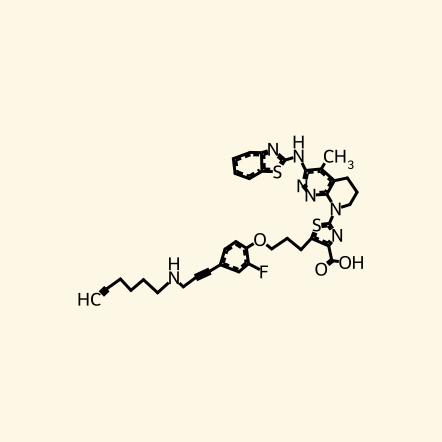 C#CCCCCNCC#Cc1ccc(OCCCc2sc(N3CCCc4c3nnc(Nc3nc5ccccc5s3)c4C)nc2C(=O)O)c(F)c1